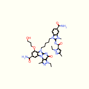 CCn1nc(C)cc1C(=O)/N=c1\n(C)c2cc(C(N)=O)ccc2n1CCCCCn1c2c(OCCCO)cc(C(N)=O)cc2n2c3c(C)nn(CC)c3c(=O)nc12